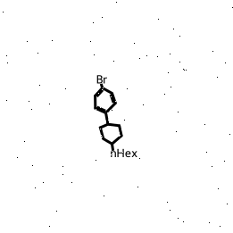 CCCCCCC1CCC(c2ccc(Br)cc2)CC1